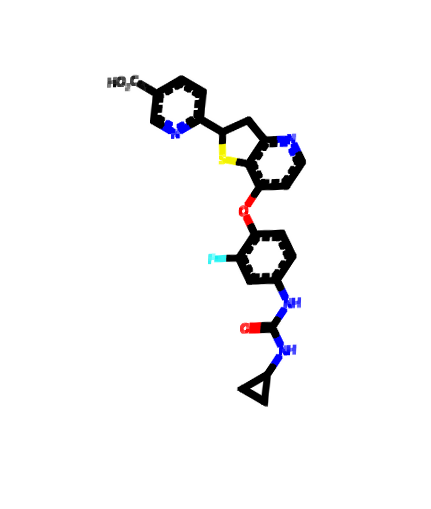 O=C(Nc1ccc(Oc2ccnc3c2SC(c2ccc(C(=O)O)cn2)C3)c(F)c1)NC1CC1